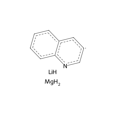 [LiH].[MgH2].[c]1cnc2ccccc2c1